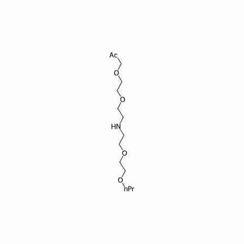 CCCOCCOCCNCCOCCOCC(C)=O